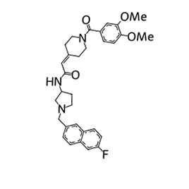 COc1ccc(C(=O)N2CCC(=CC(=O)NC3CCN(Cc4ccc5cc(F)ccc5c4)C3)CC2)cc1OC